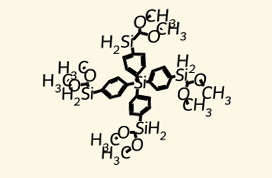 COC(OC)[SiH2]c1ccc([Si](c2ccc([SiH2]C(OC)OC)cc2)(c2ccc([SiH2]C(OC)OC)cc2)c2ccc([SiH2]C(OC)OC)cc2)cc1